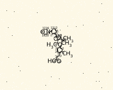 Cc1cc(OC(C)c2oc(-c3cccc(N4CCOCC4)c3)nc2C(C)C)ccc1CCC(=O)O